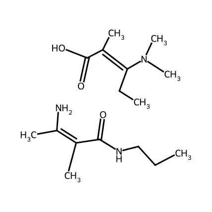 CC/C(=C(/C)C(=O)O)N(C)C.CCCNC(=O)/C(C)=C(/C)N